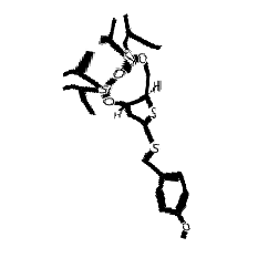 COc1ccc(CSC2C[C@@H]3O[Si](C(C)C)(C(C)C)O[Si](C(C)C)(C(C)C)OC[C@H]3S2)cc1